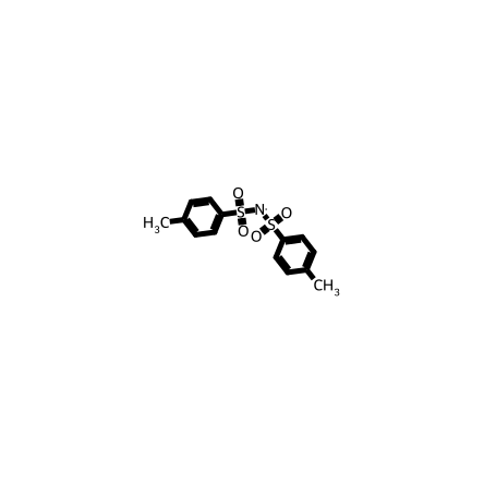 Cc1ccc(S(=O)(=O)[N]S(=O)(=O)c2ccc(C)cc2)cc1